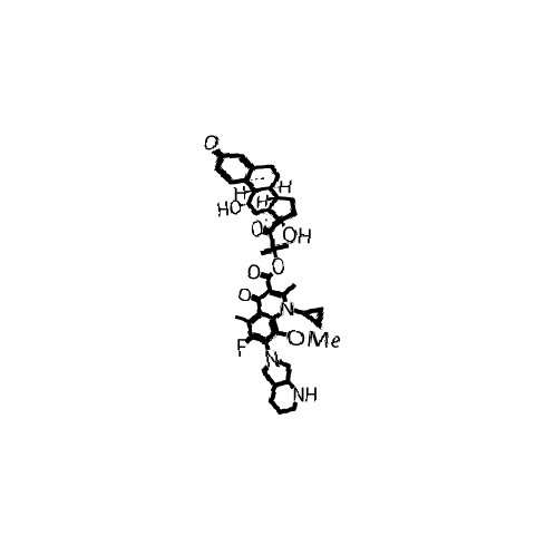 COc1c(N2CC3CCCNC3C2)c(F)c(C)c2c(=O)c(C(=O)OC(C)(C)C(=O)[C@@]3(O)CC[C@H]4[C@@H]5CCC6=CC(=O)C=C[C@]6(C)[C@H]5[C@@H](O)C[C@@]43C)c(C)n(C3CC3)c12